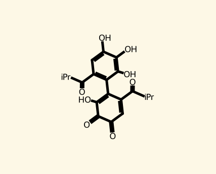 CC(C)C(=O)C1=CC(=O)C(=O)C(O)=C1c1c(C(=O)C(C)C)cc(O)c(O)c1O